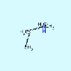 C=C(C)NCCCCCCCCCC(CC)CCCCCCCCCCC